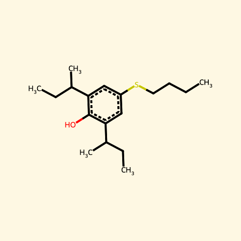 CCCCSc1cc(C(C)CC)c(O)c(C(C)CC)c1